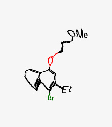 CCc1cc(OCCCOC)c2ccccc2c1Br